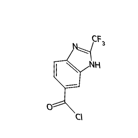 O=C(Cl)c1ccc2nc(C(F)(F)F)[nH]c2c1